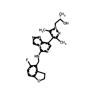 Cc1nn(C[C@H](C)O)c(C)c1-c1cnc(NCc2c(F)ccc3c2CCO3)n2cnnc12